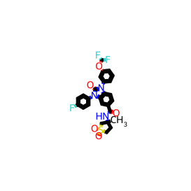 CC1(NC(=O)c2ccc3c(c2)n(-c2ccc(F)cc2)c(=O)n3-c2cccc(OC(F)F)c2)CCS(=O)(=O)C1